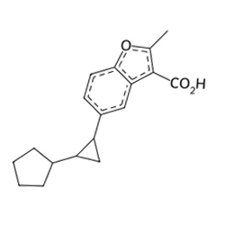 Cc1oc2ccc(C3CC3C3CCCC3)cc2c1C(=O)O